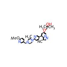 COc1ccc(CN2CCN(c3ccc(-c4cc(OCC(C)(C)O)cn5ncc(C#N)c45)cn3)C(C)C2)cn1